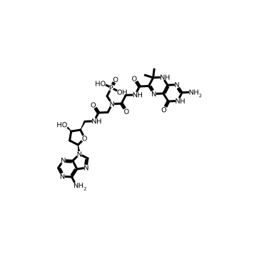 CC1(C)Nc2nc(N)[nH]c(=O)c2N=C1C(=O)NCC(=O)N(CC(=O)NC[C@H]1O[C@@H](n2cnc3c(N)ncnc32)C[C@H]1O)CP(=O)(O)O